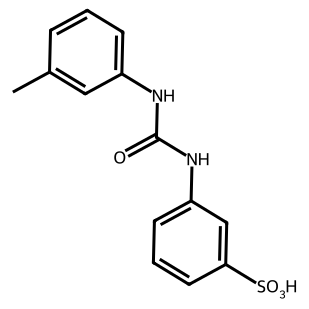 Cc1cccc(NC(=O)Nc2cccc(S(=O)(=O)O)c2)c1